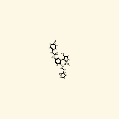 Cn1ncc(Cl)c1-c1cc(NC(=O)Cc2ccc(Cl)cc2)ccc1OCCC1CCCN1